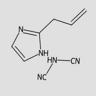 C=CCc1ncc[nH]1.N#CNC#N